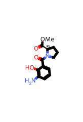 COC(=O)[C@H]1CCCN1C(=O)c1cccc(N)c1O